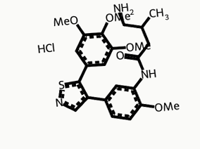 COc1ccc(-c2cnsc2-c2cc(OC)c(OC)c(OC)c2)cc1NC(=O)CC(C)CN.Cl